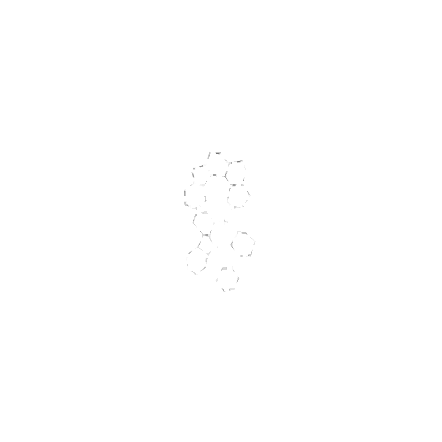 c1ccc(-c2cccc(N(c3ccc4ccc5ccc6oc7ccccc7c6c5c4c3)c3cccc4c3oc3ccccc34)c2)cc1